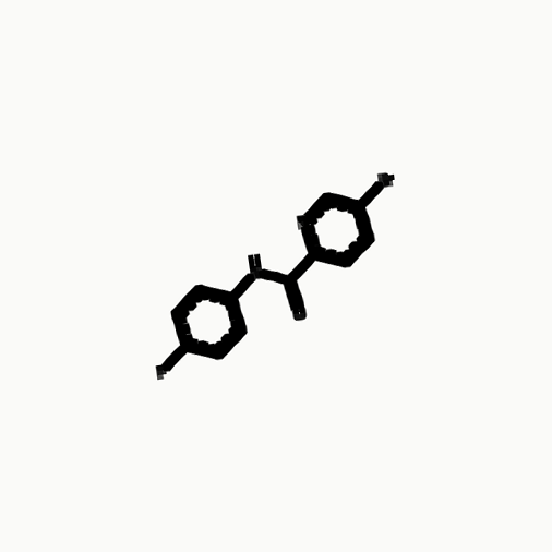 O=C(Nc1ccc(F)cc1)c1ccc(Br)cn1